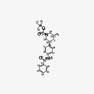 C[C@H]1C[C@@H](c2ccc(NC(=O)c3ccccc3)cc2)CN(C(=O)OC(C)(C)C)C1